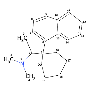 CC(N(C)C)C1(c2cccc3ccccc23)CCCCC1